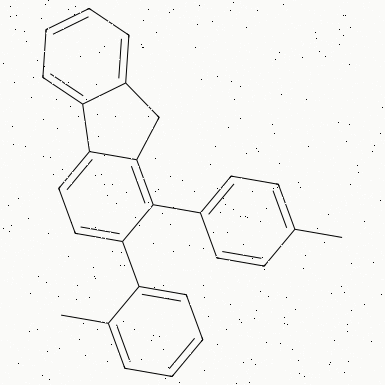 Cc1ccc(-c2c(-c3ccccc3C)ccc3c2Cc2ccccc2-3)cc1